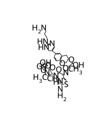 CC(O/N=C(\C(=O)N[C@@H]1C(=O)N(OS(=O)(=O)O)C1(C)C)c1csc(N)n1)(C(=O)O)[C@H]1CCc2cc(C3=CN=C(NCCCN)NC3)ccc2O1